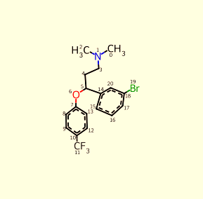 CN(C)CCC(Oc1ccc(C(F)(F)F)cc1)c1cccc(Br)c1